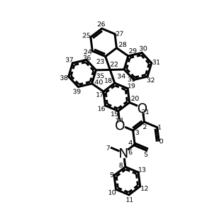 C=CC1=C(C(=C)N(C)c2ccccc2)Oc2cc3c(cc2O1)C1(C2=CC=CCC2c2ccccc21)c1ccccc1-3